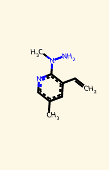 C=Cc1cc(C)cnc1N(C)N